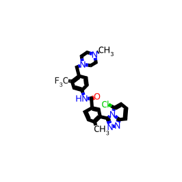 Cc1ccc(C(=O)Nc2ccc(CN3CCN(C)CC3)c(C(F)(F)F)c2)cc1-c1nnc2cccc(Cl)n12